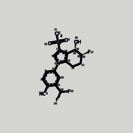 N#Cc1ccc(-n2cc(S(=O)(=O)C(F)(F)F)c3c2CC[C@@H](F)[C@H]3O)cc1C(F)F